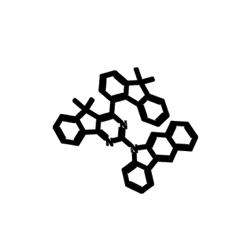 CC1(C)c2ccccc2-c2c(-c3nc(-n4c5ccccc5c5cc6ccccc6cc54)nc4c3C(C)(C)c3ccccc3-4)cccc21